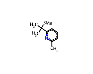 CSC(C)(C)c1cccc(C)n1